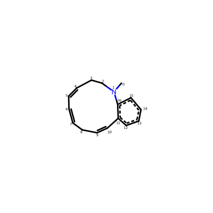 CN1CC/C=C\C=C/C/C=C\c2ccccc21